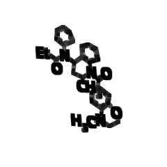 CCC(=O)N(c1ccccc1)C1CC(C)N(C(=O)c2ccc3c(c2)OCCN3C)c2ccccc21